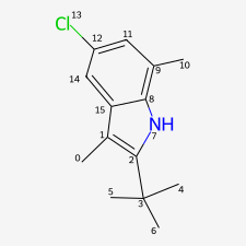 Cc1c(C(C)(C)C)[nH]c2c(C)cc(Cl)cc12